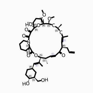 C=CC[C@@H]1/C=C(\C)C[C@H](C)C[C@H](OC)[C@H]2O[C@@](O)(C(=O)C(=O)N3CCCC[C@H]3C(=O)O[C@H](/C(C)=C/[C@@H]3CC[C@@H](O)[C@H](CO)C3)[C@@H](C)/C=C/C1=O)[C@H](C)C[C@@H]2OC